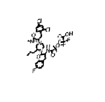 CCCC1CN(C(Cc2ccc(Cl)cc2Cl)C(=O)NC)CCN1C(=O)C(Cc1ccc(F)cc1)NC(=O)C(C)(C)O.O=C(O)C(F)(F)F